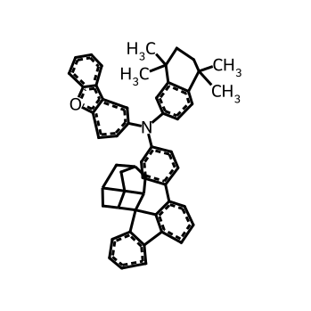 CC1(C)CCC(C)(C)c2cc(N(c3ccc(-c4cccc5c4C4(c6ccccc6-5)C5CC6CC7CC4C75C6)cc3)c3ccc4oc5ccccc5c4c3)ccc21